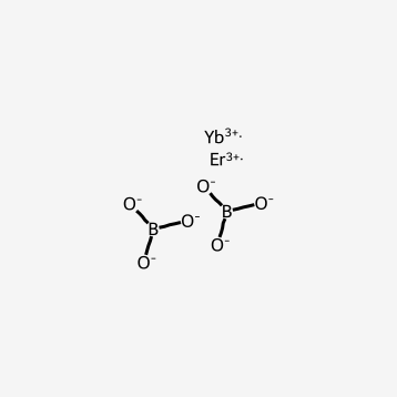 [Er+3].[O-]B([O-])[O-].[O-]B([O-])[O-].[Yb+3]